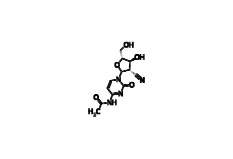 CC(=O)Nc1ccn(C2O[C@H](CO)[C@@H](O)[C@@H]2C#N)c(=O)n1